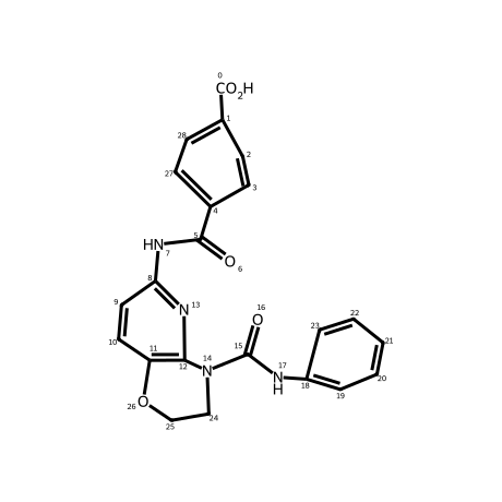 O=C(O)c1ccc(C(=O)Nc2ccc3c(n2)N(C(=O)Nc2ccccc2)CCO3)cc1